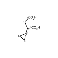 O=C(O)CC(C(=O)O)N1CC1